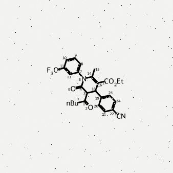 CCCCC(=O)C1C(=O)N(c2cccc(C(F)(F)F)c2)C(C)=C(C(=O)OCC)C1c1ccc(C#N)cc1